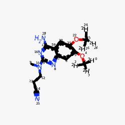 [2H]C([2H])([2H])Oc1cc2nc(N(C)CCC#N)nc(N)c2cc1OC([2H])([2H])[2H]